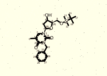 Cc1cn([C@H]2CC(O)[C@@H](CO[Si](C)(C)C(C)(C)C)O2)c(=O)n(Cc2ccccc2)c1=O